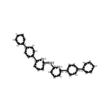 c1ccc(-c2ccc(-c3cccc(Nc4cccc(-c5ccc(-c6ccccc6)cc5)n4)n3)cc2)cc1